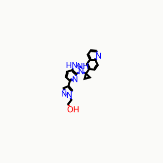 OCCn1cc(-c2ccc3c(n2)N(C2(c4ccc5ncccc5c4)CC2)NN3)cn1